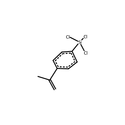 C=C(C)c1ccc([Si](Cl)(Cl)Cl)cc1